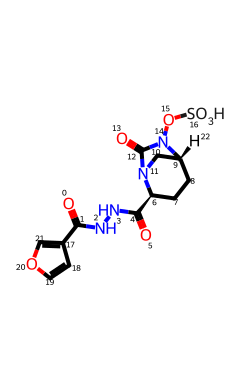 O=C(NNC(=O)[C@@H]1CC[C@@H]2CN1C(=O)N2OS(=O)(=O)O)c1ccoc1